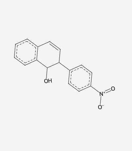 O=[N+]([O-])c1ccc(C2C=Cc3ccccc3C2O)cc1